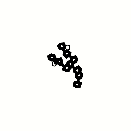 c1ccc(-c2ccc3ccc(-c4c5cccc(-c6ccc7c(c6)oc6ccccc67)c5cc5c(-c6ccc7c(c6)oc6ccccc67)cccc45)cc3c2)cc1